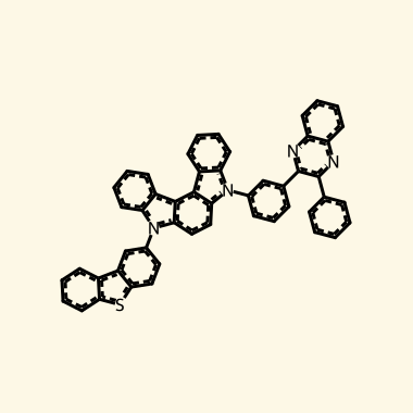 c1ccc(-c2nc3ccccc3nc2-c2cccc(-n3c4ccccc4c4c5c6ccccc6n(-c6ccc7sc8ccccc8c7c6)c5ccc43)c2)cc1